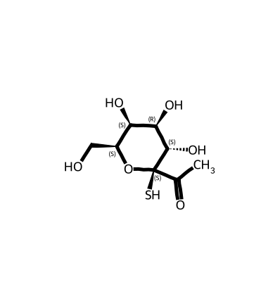 CC(=O)[C@]1(S)O[C@@H](CO)[C@@H](O)[C@@H](O)[C@@H]1O